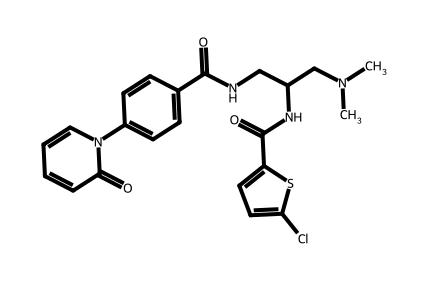 CN(C)CC(CNC(=O)c1ccc(-n2ccccc2=O)cc1)NC(=O)c1ccc(Cl)s1